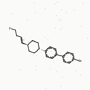 FCC/C=C/[C@H]1CC[C@H](c2ccc(-c3ccc(Br)cc3)cc2)CC1